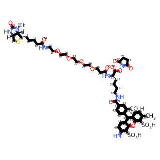 CCN1C(=O)N[C@H]2CS[C@@H](CCCCC(=O)NCCOCCOCCOCCOCCC(=O)N[C@@H](CCCCNC(=O)c3ccc(-c4c5ccc(=N)c(S(=O)(=O)O)c-5oc5c(S(=O)(=O)O)c(C)ccc45)c(C(=O)O)c3)C(=O)ON3C(=O)CCC3=O)[C@H]21